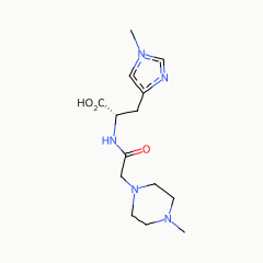 CN1CCN(CC(=O)N[C@@H](Cc2cn(C)cn2)C(=O)O)CC1